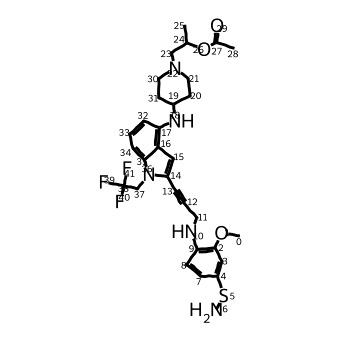 COc1cc(SN)ccc1NCC#Cc1cc2c(NC3CCN(CC(C)OC(C)=O)CC3)cccc2n1CC(F)(F)F